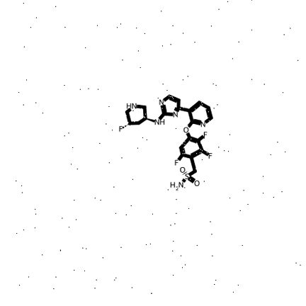 NS(=O)(=O)Cc1c(F)cc(Oc2ncccc2-c2ccnc(N[C@@H]3CNC[C@@H](F)C3)n2)c(F)c1F